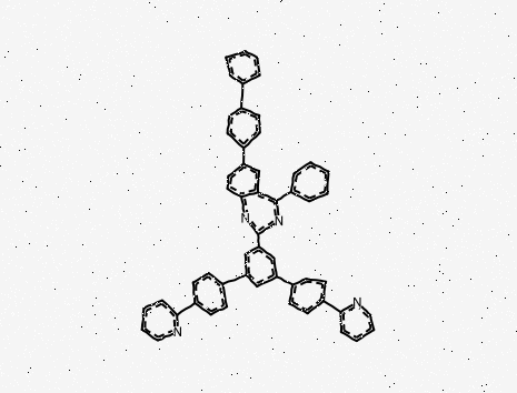 c1ccc(-c2ccc(-c3ccc4nc(-c5cc(-c6ccc(-c7ccccn7)cc6)cc(-c6ccc(-c7ccccn7)cc6)c5)nc(-c5ccccc5)c4c3)cc2)cc1